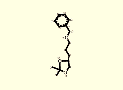 CC1(C)OC[C@H](CCCOCc2ccccc2)O1